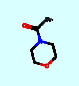 C[C](C)C(=O)N1CCOCC1